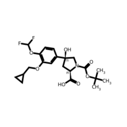 CC(C)(C)OC(=O)N1C[C@@](O)(c2ccc(OC(F)F)c(OCC3CC3)c2)C[C@@H]1C(=O)O